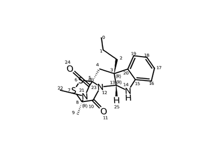 CCC[C@]12C[C@]34SS[C@](C)(C(=O)N3[C@H]1Nc1ccccc12)N(C)C4=O